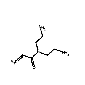 C=CC(=O)N(CCN)CCN